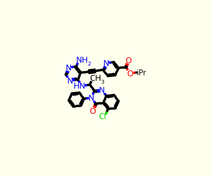 CC(C)OC(=O)c1ccc(C#Cc2c(N)ncnc2NC(C)c2nc3cccc(Cl)c3c(=O)n2-c2ccccc2)nc1